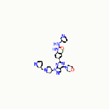 O=C(Nc1cccnc1)Nc1ccc(-c2nc(N3CCOCC3)c3cnn(C4CCN(Cc5cccnc5)CC4)c3n2)cc1F